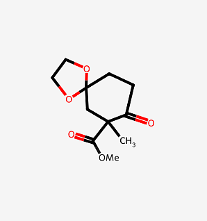 COC(=O)C1(C)CC2(CCC1=O)OCCO2